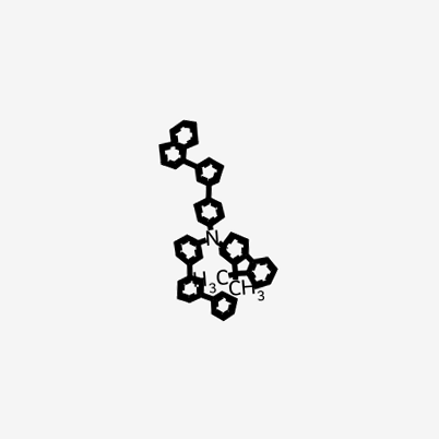 CC1(C)c2ccccc2-c2ccc(N(c3ccc(-c4cccc(-c5cccc6ccccc56)c4)cc3)c3cccc(-c4cccc(-c5ccccc5)c4)c3)cc21